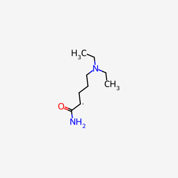 CCN(CC)CCC[CH]C(N)=O